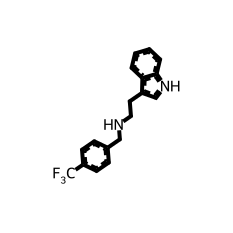 FC(F)(F)c1ccc(CNCCc2c[nH]c3ccccc23)cc1